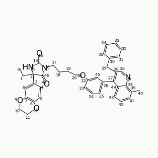 CCC1(c2ccc3c(c2)OCCO3)NC(=O)N(CCCCOc2cccc(-c3c(Cc4ccccc4)cnc4c(C)cccc34)c2)C1=O